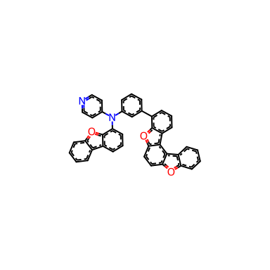 c1cc(-c2cccc3c2oc2ccc4oc5ccccc5c4c23)cc(N(c2ccncc2)c2cccc3c2oc2ccccc23)c1